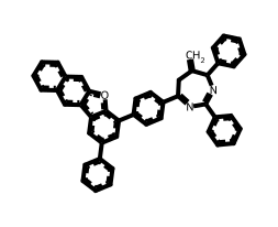 C=C1CC(c2ccc(-c3cc(-c4ccccc4)cc4c3oc3cc5ccccc5cc34)cc2)=NC(c2ccccc2)=NC1c1ccccc1